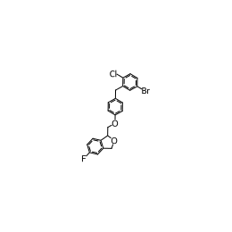 Fc1ccc2c(c1)COC2COc1ccc(Cc2cc(Br)ccc2Cl)cc1